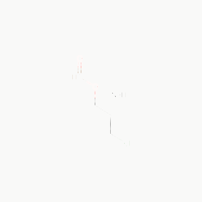 O=[SH]OCCCCl.[NaH]